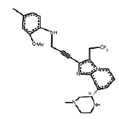 COc1cc(C)ccc1NCC#Cc1nc2c([C@H]3CN(C)CCN3)cccn2c1CC(F)(F)F